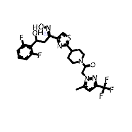 Cc1cc(C(F)(F)F)nn1CC(=O)N1CCC(c2nc(/C(CC(O)c3c(F)cccc3F)=N/O)cs2)CC1